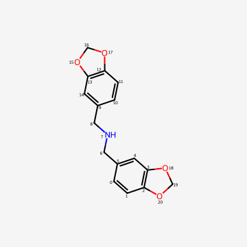 c1cc2c(cc1CNCc1ccc3c(c1)OCO3)OCO2